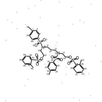 Cc1ccc(S(=O)(=O)N(CCCN(CCOS(=O)(=O)c2ccccc2C)S(=O)(=O)c2ccc(C)cc2)CCOS(=O)(=O)c2ccccc2C)cc1